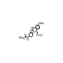 COc1ccc(/N=C/C(=O)O)c(Nc2nc3c(s2)CC(NC(=O)OC(C)(C)C)CC3)n1